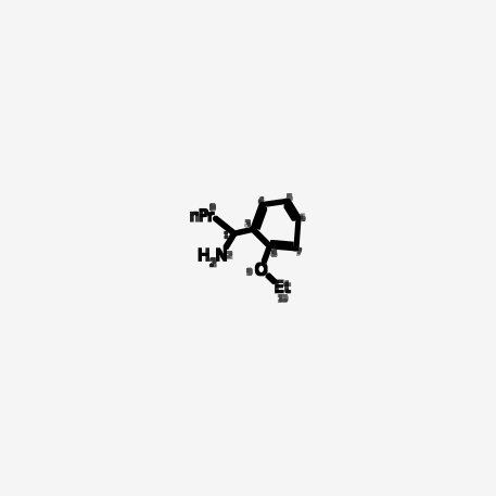 CCCC(N)c1ccccc1OCC